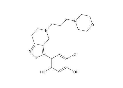 Oc1cc(O)c(-c2onc3c2CN(CCCN2CCOCC2)CC3)cc1Cl